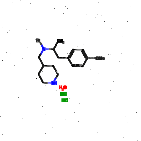 CCN(CC1CCNCC1)C(C)Cc1ccc(OC)cc1.Cl.Cl.O